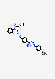 CC1S/C(=N\N=C\c2ccc(C(=N)/N=C\Nc3ccc(OC(F)(F)F)cc3)cc2)N(c2c(F)cccc2F)C1=O